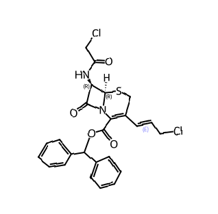 O=C(CCl)N[C@@H]1C(=O)N2C(C(=O)OC(c3ccccc3)c3ccccc3)=C(/C=C/CCl)CS[C@H]12